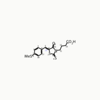 CSc1ccc(/C=C2\SC(=S)N(CCCC(=O)O)C2=O)cc1